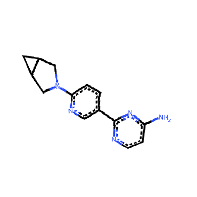 Nc1ccnc(-c2ccc(N3CC4CC4C3)nc2)n1